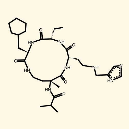 CC[C@@H]1NC(=O)[C@H](CCNCc2cnc[nH]2)NC(=O)[C@](C)(NC(=O)C(C)C)CCNC(=O)[C@@H](CC2CCCCC2)NC1=O